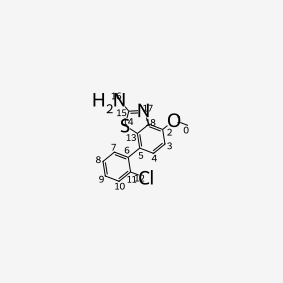 COc1ccc(-c2ccccc2Cl)c2sc(N)nc12